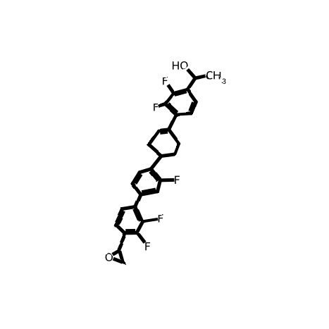 CC(O)c1ccc(C2=CCC(c3ccc(-c4ccc(C5CO5)c(F)c4F)cc3F)CC2)c(F)c1F